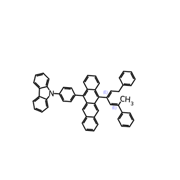 C/C(=C\C(=C/Cc1ccccc1)c1c2ccccc2c(-c2ccc(-n3c4ccccc4c4ccccc43)cc2)c2cc3ccccc3cc12)c1ccccc1